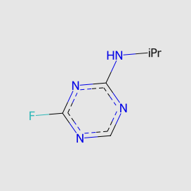 CC(C)Nc1ncnc(F)n1